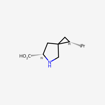 CC(C)[C@H]1CC12CN[C@H](C(=O)O)C2